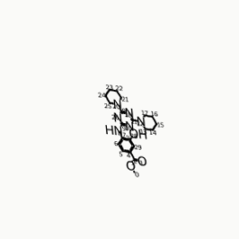 COC(=O)c1ccc(Nc2nc(N3CCCCC3)nc(N3CCCCC3)n2)c(O)c1